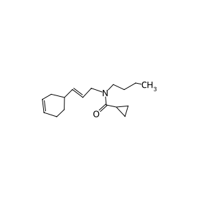 CCCCN(C/C=C/C1CC=CCC1)C(=O)C1CC1